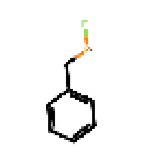 F[P]Cc1ccccc1